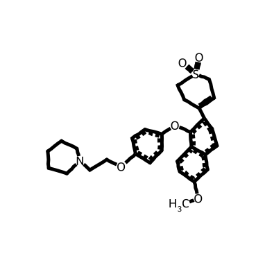 COc1ccc2c(Oc3ccc(OCCN4CCCCC4)cc3)c(C3=CCS(=O)(=O)CC3)ccc2c1